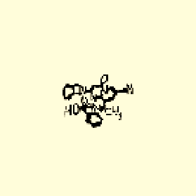 C[C@@H](Nc1ccccc1C(=O)O)c1cc(C#N)cn2c(=O)cc(N3Cc4ccccc4C3)nc12